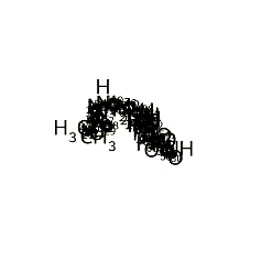 [2H]C1([2H])N(CC2CCN(c3ccc(Nc4ncc5cc(C(=O)N(C)C)n(C6CCCC6)c5n4)nc3)CC2)C([2H])([2H])C([2H])([2H])N(c2c(F)c(F)c3c(c2F)C(=O)N(C2CCC(=O)NC2=O)C3=O)C1([2H])[2H]